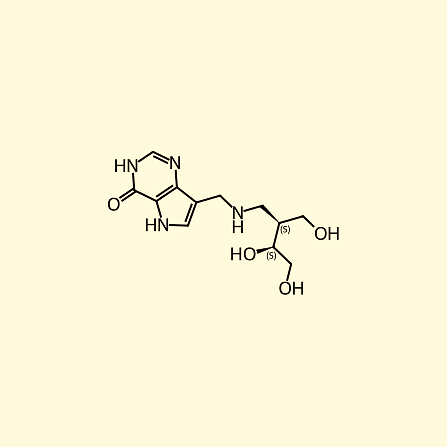 O=c1[nH]cnc2c(CNC[C@@H](CO)[C@H](O)CO)c[nH]c12